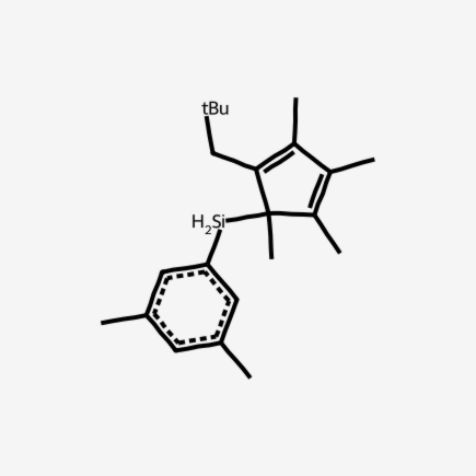 CC1=C(C)C(C)([SiH2]c2cc(C)cc(C)c2)C(CC(C)(C)C)=C1C